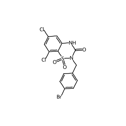 O=C1Nc2cc(Cl)cc(Cl)c2S(=O)(=O)N1Cc1ccc(Br)cc1